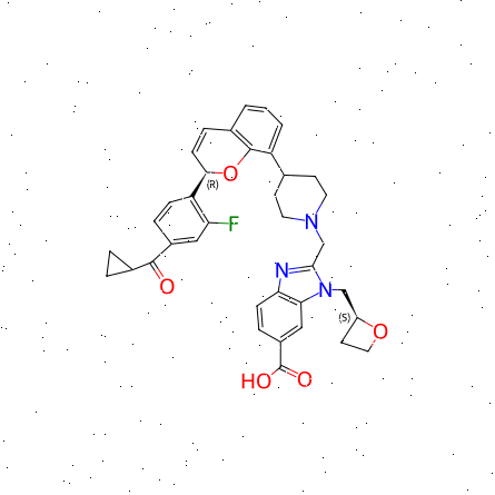 O=C(O)c1ccc2nc(CN3CCC(c4cccc5c4O[C@@H](c4ccc(C(=O)C6CC6)cc4F)C=C5)CC3)n(C[C@@H]3CCO3)c2c1